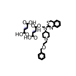 CN(C1=Nc2ccccc2CS1)C1CCN(CCOCc2ccccc2)CC1.O=C(O)/C=C/C(=O)O.O=C(O)/C=C/C(=O)O